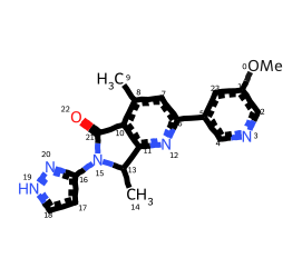 COc1cncc(-c2cc(C)c3c(n2)C(C)N(c2cc[nH]n2)C3=O)c1